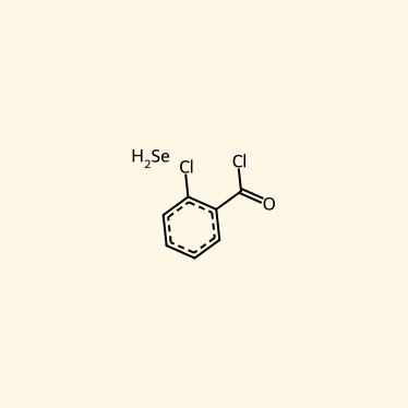 O=C(Cl)c1ccccc1Cl.[SeH2]